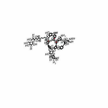 CCN[C@](C)(C[C@@H](O)OC1C(O)[C@@H](O)[C@@H](CO)O[C@@H]1Oc1c2cc3cc1Oc1ccc(cc1Cl)[C@@H](O)[C@@H](NC(=O)[C@@H](CC(C)C)NC)C(=O)N[C@@H](CC(N)=O)C(=O)N[C@H]3C(=O)N[C@H]1C(=O)N[C@H](C(=O)N[C@H](C(=O)NCCCNC(=O)C(O)C(O)[C@H](OC3OC(CO)C(O)C(O)C3O)[C@H](O)CO)c3cc(O)cc(O)c3-c3cc1ccc3O)[C@H](O)c1ccc(c(Cl)c1)O2)[C@H](O)CC